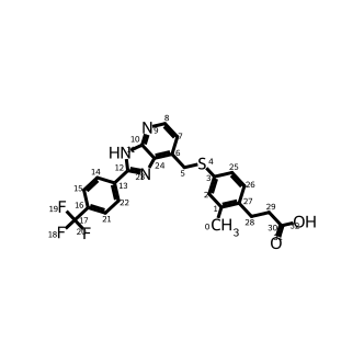 Cc1cc(SCc2ccnc3[nH]c(-c4ccc(C(F)(F)F)cc4)nc23)ccc1CCC(=O)O